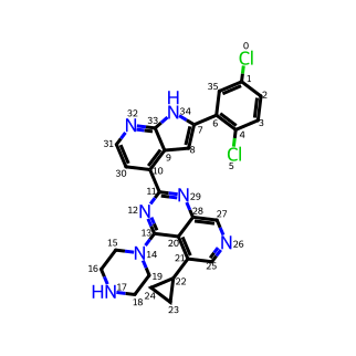 Clc1ccc(Cl)c(-c2cc3c(-c4nc(N5CCNCC5)c5c(C6CC6)cncc5n4)ccnc3[nH]2)c1